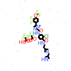 Cn1c(-c2ccc(OC(F)F)c(F)c2F)cnc1C(=O)Nc1ccc(C(=O)NCCC2CN(CC3CNC3)C2)c(Cl)c1.O=C(O)C(F)(F)F.O=C(O)C(F)(F)F